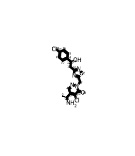 C[C@H](N)c1cnn(Cc2nc(C[C@H](O)c3ccc(Cl)cc3)no2)c(=O)c1Cl